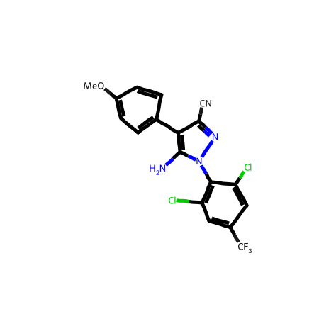 COc1ccc(-c2c(C#N)nn(-c3c(Cl)cc(C(F)(F)F)cc3Cl)c2N)cc1